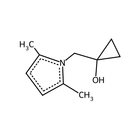 Cc1ccc(C)n1CC1(O)CC1